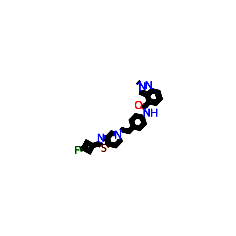 Cn1cc2c(C(=O)NC3CCC(CCN4CCc5sc(C6CC(F)C6)nc5C4)CC3)cccc2n1